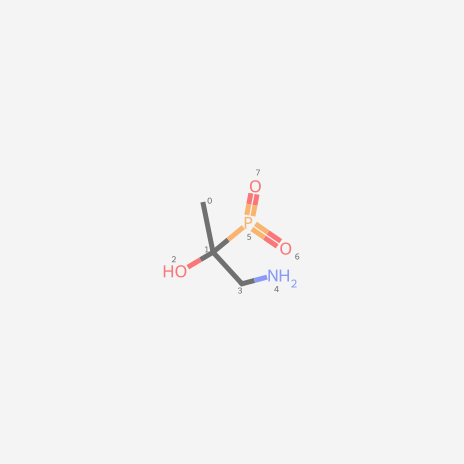 CC(O)(CN)P(=O)=O